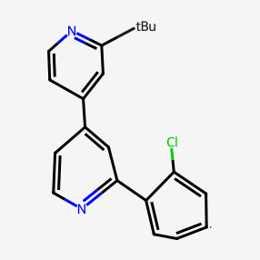 CC(C)(C)c1cc(-c2ccnc(-c3cc[c]cc3Cl)c2)ccn1